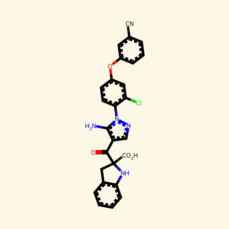 N#Cc1cccc(Oc2ccc(-n3ncc(C(=O)C4(C(=O)O)Cc5ccccc5N4)c3N)c(Cl)c2)c1